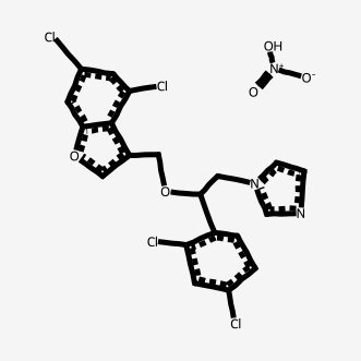 Clc1ccc(C(Cn2ccnc2)OCc2coc3cc(Cl)cc(Cl)c23)c(Cl)c1.O=[N+]([O-])O